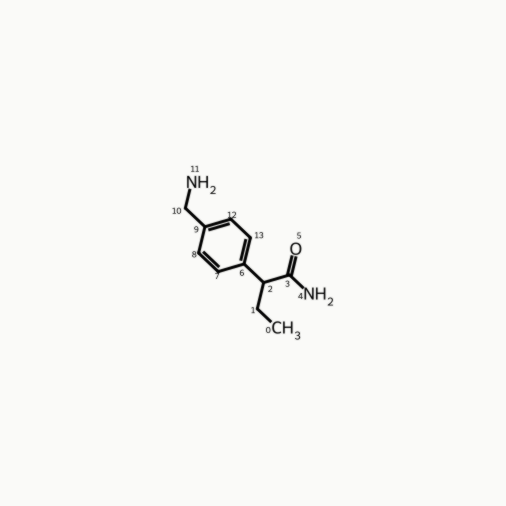 CCC(C(N)=O)c1ccc(CN)cc1